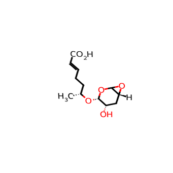 C[C@H](CC/C=C/C(=O)O)O[C@@H]1OC2O[C@@H]2C[C@@H]1O